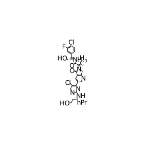 CCCC(CCO)Nc1ncc(Cl)c(-c2cnc3c(c2)C(=O)N([C@H](C)C(=O)N[C@H](CO)c2ccc(Cl)c(F)c2)C3)n1